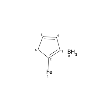 B.[Fe][C]1=CC=CC1